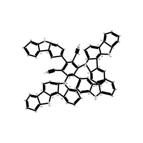 N#Cc1c(-c2ccc3sc4ccccc4c3c2)c(C#N)c(-n2c3ccccc3c3c4sc5ccccc5c4ccc32)c(-c2ccc3sc4ccccc4c3c2)c1-n1c2ccccc2c2c3sc4ccccc4c3ccc21